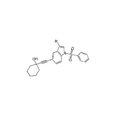 O=S(=O)(c1ccccc1)n1cc(Br)c2cc(C#CC3(O)CCCCC3)ccc21